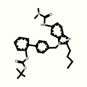 CCCCc1nc2ccc(NC(=O)N(C)C)cc2n1Cc1ccc(-c2ccccc2OC(=O)OC(C)(C)C)cc1